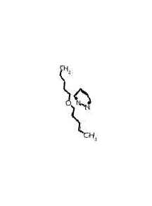 CCCCCOCCCCC.c1ccnnc1